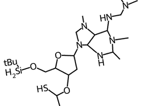 CC(S)OC1CC(N2CN(C)C3C(NCN(C)C)N(C)C(C)NC32)OC1CO[SiH2]C(C)(C)C